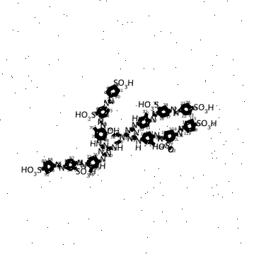 Cc1cc(Nc2nc(Nc3ccc(N=Nc4ccc(N=Nc5ccc(S(=O)(=O)O)cc5)cc4S(=O)(=O)O)c(C)c3)nc(N(CCO)CCNc3nc(Nc4ccc(N=Nc5ccc(N=Nc6ccc(S(=O)(=O)O)cc6)cc5S(=O)(=O)O)c(C)c4)nc(Nc4ccc(N=Nc5ccc(N=Nc6ccc(S(=O)(=O)O)cc6)cc5S(=O)(=O)O)c(C)c4)n3)n2)ccc1N=Nc1ccc(N=Nc2ccc(S(=O)(=O)O)cc2)cc1S(=O)O